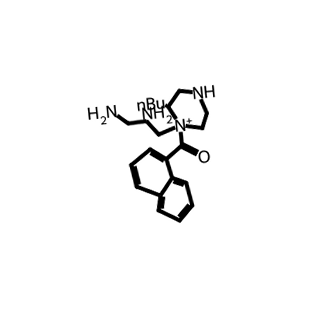 CCCC[C@H]1CNCC[N+]1(CC(N)CN)C(=O)c1cccc2ccccc12